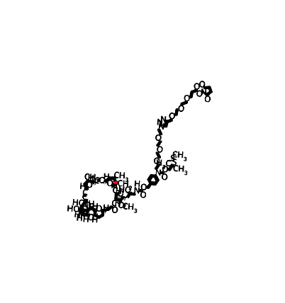 C=C1C[C@@H]2CC[C@@]3(O)C[C@@H](O)[C@@H]4C[C@@H]5[C@H]4O[C@H]4CC[C@H](CC(=O)C[C@@H]6[C@@H](OC)[C@@H](C[C@H](O)CNC(=O)OCc7ccc(N(CCOCCOCCOCCn8cc(COCCOCCOCCC(=O)ON9C(=O)CCC9=O)nn8)C(=O)OCC(C)(C)SSC)cc7)O[C@H]6C[C@H]6O[C@@H](CC[C@@H]1O2)C[C@@H](C)C6=C)O[C@@H]4[C@@H]5O3